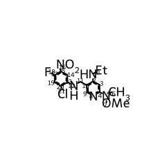 CCNc1cc(N(C)OC)ncc1CNc1cc([N+](=O)[O-])c(F)cc1Cl